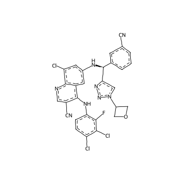 N#Cc1cccc([C@H](Nc2cc(Cl)c3ncc(C#N)c(Nc4ccc(Cl)c(Cl)c4F)c3c2)c2cn(C3COC3)nn2)c1